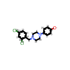 [O]c1ccc(N2CCN(Cc3ccc(Cl)cc3Cl)CC2)cc1